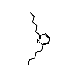 CCCCCc1cccc(CCCCC)n1